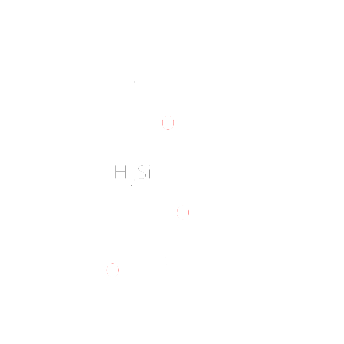 CCC(=O)O[SiH2]OC(C)(C)C